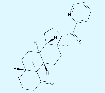 C[C@]12CC[C@H]3[C@@H](CC[C@H]4NCCC(=O)[C@@]43C)[C@@H]1CC[C@@H]2C(=S)c1ccccn1